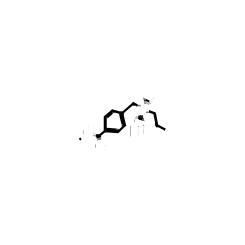 COC(=O)c1ccc(CS(=O)(=O)CC(C)O)cc1